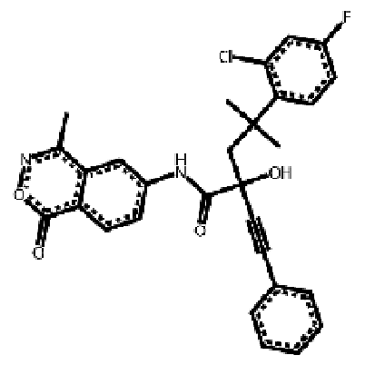 Cc1noc(=O)c2ccc(NC(=O)C(O)(C#Cc3ccccc3)CC(C)(C)c3ccc(F)cc3Cl)cc12